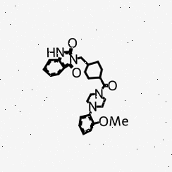 COc1ccccc1N1CCN(C(=O)C2CCC(Cn3c(=O)[nH]c4ccccc4c3=O)CC2)CC1